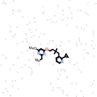 COc1cc(OCCC(C)(C)Cc2cccnc2C2CC2)nc(CC(C)(C)C)n1